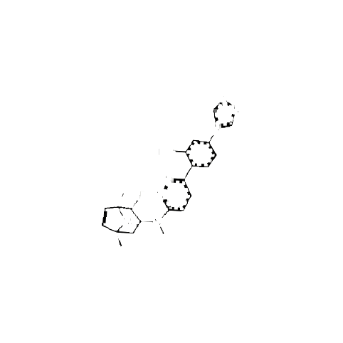 CN(c1ccc(-c2ccc(-n3cnnc3)cc2O)nn1)[C@H]1C[C@]2(C)C=C[C@@](C)(N2)[C@H]1F